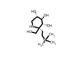 C[Si](C)(C)CC[C@]1(CO)NC[C@H](O)[C@@H](O)[C@@H]1O